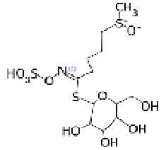 C[S+]([O-])CCCC/C(=N/OS(=O)(=O)O)SC1OC(CO)C(O)C(O)C1O